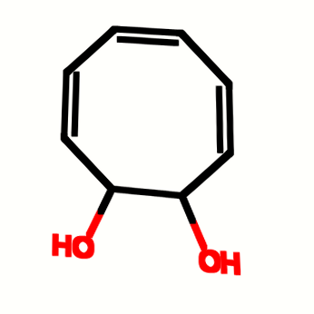 OC1\C=C/C=C\C=C/C1O